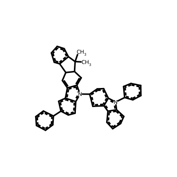 CC1(C)c2ccccc2C2C=c3c(n(-c4ccc5c(c4)c4ccccc4n5-c4ccccc4)c4ccc(-c5ccccc5)cc34)=CC21